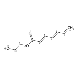 C=CC=CC=CC(=O)OCCO